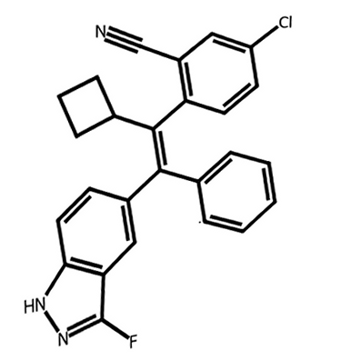 N#Cc1cc(Cl)ccc1/C(=C(\c1[c]cccc1)c1ccc2[nH]nc(F)c2c1)C1CCC1